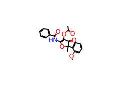 COc1ccccc1C1(C)OC(NC(=O)c2ccccc2)=C(OC(C)=O)C1=O